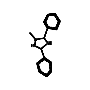 CN1NC(c2ccccc2)NC1c1ccccc1